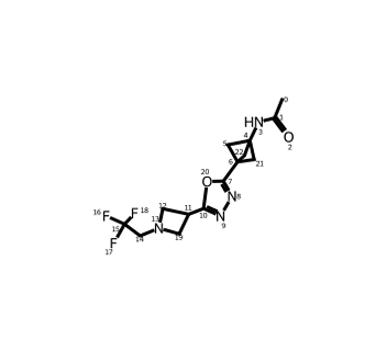 CC(=O)NC12CC(c3nnc(C4CN(CC(F)(F)F)C4)o3)(C1)C2